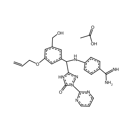 C=CCOc1cc(CO)cc(C(Nc2ccc(C(=N)N)cc2)c2nn(-c3ncccn3)c(=O)[nH]2)c1.CC(=O)O